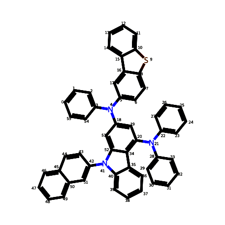 c1ccc(N(c2ccc3sc4ccccc4c3c2)c2cc(N(c3ccccc3)c3ccccc3)c3c4ccccc4n(-c4ccc5ccccc5c4)c3c2)cc1